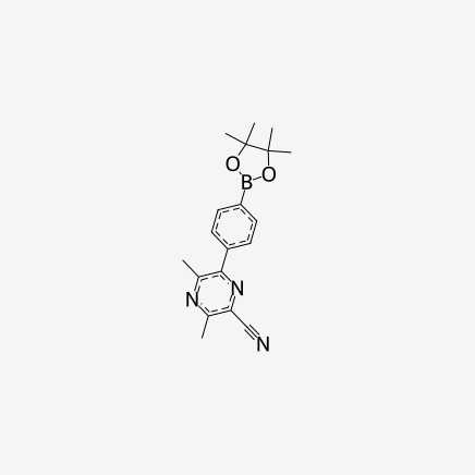 Cc1nc(C)c(-c2ccc(B3OC(C)(C)C(C)(C)O3)cc2)nc1C#N